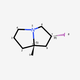 C[C@@]12CCCN1C[C@H](I)C2